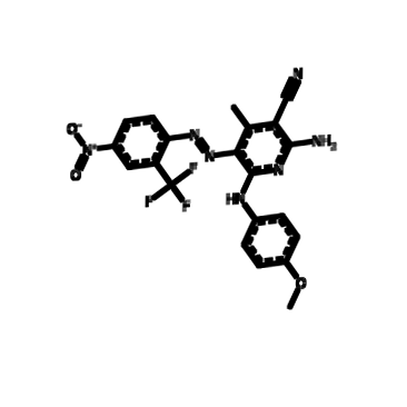 COc1ccc(Nc2nc(N)c(C#N)c(C)c2N=Nc2ccc([N+](=O)[O-])cc2C(F)(F)F)cc1